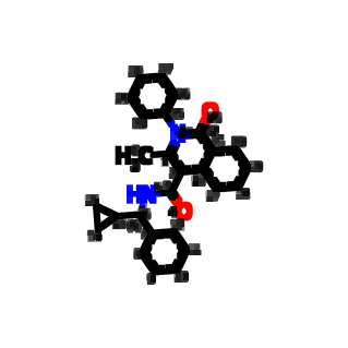 Cc1c(C(=O)N[C@H](c2ccccc2)C2CC2)c2ccccc2c(=O)n1-c1ccccc1